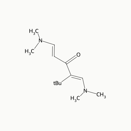 CN(C)/C=C/C(=O)/C(=C/N(C)C)C(C)(C)C